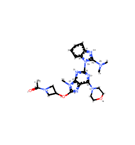 CC(C)C(=O)N1CC(Oc2nc3c(N4CCOCC4)nc(-n4c(N(C)C)nc5ccccc54)nc3n2C)C1